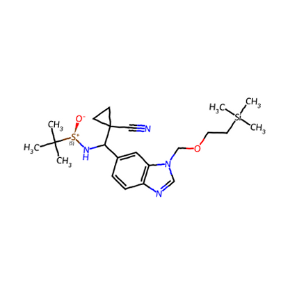 CC(C)(C)[S@@+]([O-])NC(c1ccc2ncn(COCC[Si](C)(C)C)c2c1)C1(C#N)CC1